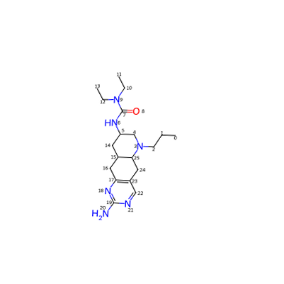 CCCN1CC(NC(=O)N(CC)CC)CC2Cc3nc(N)ncc3CC21